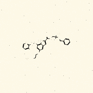 COCCOc1cc(NS(=O)(=O)c2ncccc2C)c2[nH]c(C(=O)NCC(C)(C=O)SCc3ccccc3)cc2c1